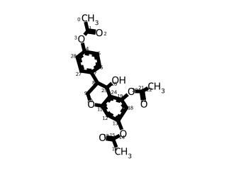 CC(=O)Oc1ccc(C2COc3cc(OC(C)=O)cc(OC(C)=O)c3C2O)cc1